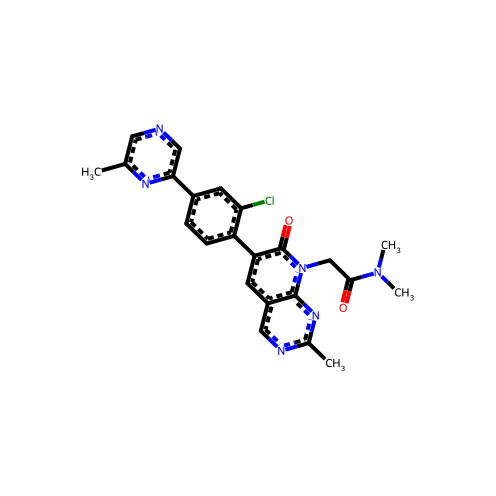 Cc1cncc(-c2ccc(-c3cc4cnc(C)nc4n(CC(=O)N(C)C)c3=O)c(Cl)c2)n1